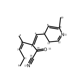 CC/C=C(C)\C(=C\C1C=C(C)N=CC1)C(=O)C#N